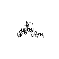 CCOC(=O)c1cn2nc(C3CCN(C)CC3)c(CC)c2cc1NC(=O)c1cccc(C(F)(F)F)n1